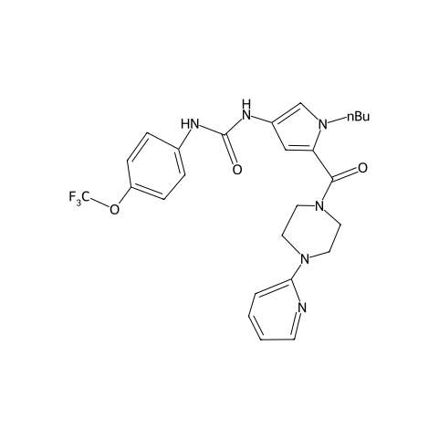 CCCCn1cc(NC(=O)Nc2ccc(OC(F)(F)F)cc2)cc1C(=O)N1CCN(c2ccccn2)CC1